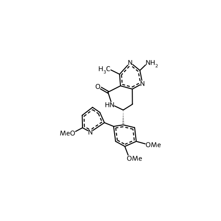 COc1cccc(-c2cc(OC)c(OC)cc2[C@H]2Cc3nc(N)nc(C)c3C(=O)N2)n1